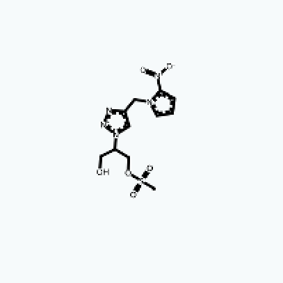 CS(=O)(=O)OCC(CO)n1cc(Cn2cccc2[N+](=O)[O-])nn1